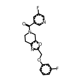 O=C(c1cncc(F)c1)N1CCc2nc(COc3cccc(F)c3)oc2C1